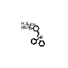 CC(C)(C)[Si](C)(C)OC1CCC/C(=C/CP(=O)(c2ccccc2)c2ccccc2)C1